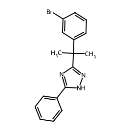 CC(C)(c1cccc(Br)c1)c1n[nH]c(-c2ccccc2)n1